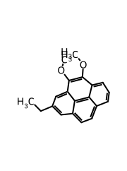 CCc1cc2ccc3cccc4c(OC)c(OC)c(c1)c2c34